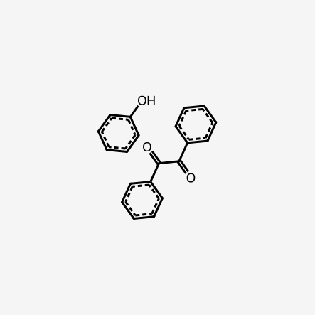 O=C(C(=O)c1ccccc1)c1ccccc1.Oc1ccccc1